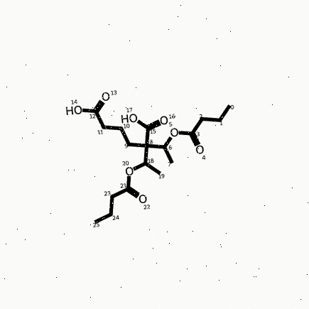 CCCC(=O)OC(C)C(CCCC(=O)O)(C(=O)O)C(C)OC(=O)CCC